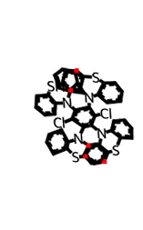 Sc1ccccc1N(c1c(Cl)c(N2c3ccccc3Sc3ccccc32)c(N2c3ccccc3Sc3ccccc32)c(Cl)c1N1c2ccccc2Sc2ccccc21)C12C=CC=CC1C2